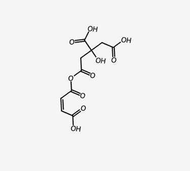 O=C(O)/C=C\C(=O)OC(=O)CC(O)(CC(=O)O)C(=O)O